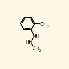 CNNc1ccccc1C